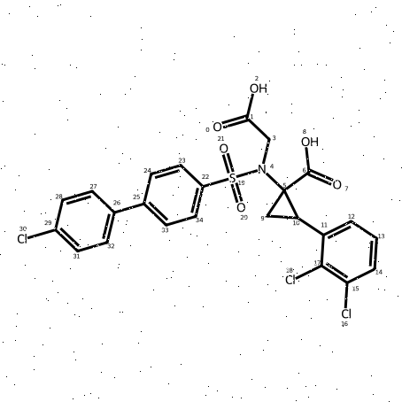 O=C(O)CN(C1(C(=O)O)CC1c1cccc(Cl)c1Cl)S(=O)(=O)c1ccc(-c2ccc(Cl)cc2)cc1